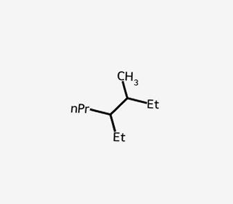 [CH2]CCC(CC)C(C)C[CH2]